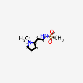 CN1CCCC1CCNS(C)(=O)=O